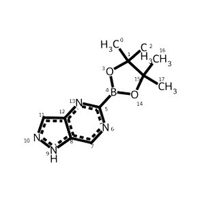 CC1(C)OB(c2ncc3[nH]ncc3n2)OC1(C)C